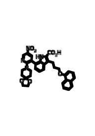 O=C(O)c1[nH]c2c(-c3cc([N+](=O)[O-])cnc3N3CCC4(CC3)OCCO4)cccc2c1CCCOc1cccc2ccccc12